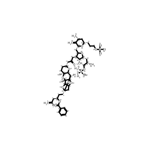 C=C(Br)C[C@@H](CC[C@@]12CC3OC4[C@@H](O1)C1O[C@@H](CC(=O)C[C@H]5C(C[C@H]6O[C@@H](CCCO[Si](CC)(CC)CC)C[C@@H](C)C6=C)O[C@H](C[C@H](C)CO[Si](C)(C)C(C)(C)C)[C@@H]5C)CC[C@@H]1O[C@H]4[C@H]3O2)OC(=O)c1ccccc1